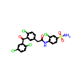 NS(=O)(=O)c1ccc(NC(=O)Cc2ccc(Cl)c(C(=O)c3cc(Cl)ccc3Cl)c2)c(Cl)c1